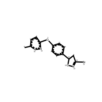 Cc1ccc(Oc2ccc(C3CC(Br)=NO3)cc2)nn1